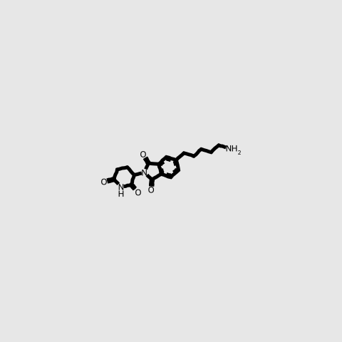 NCCCCCc1ccc2c(c1)C(=O)N(C1CCC(=O)NC1=O)C2=O